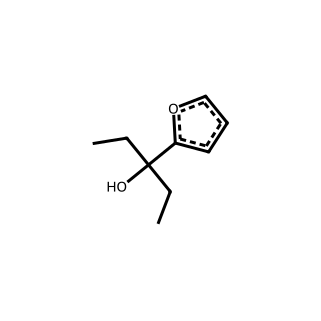 CCC(O)(CC)c1ccco1